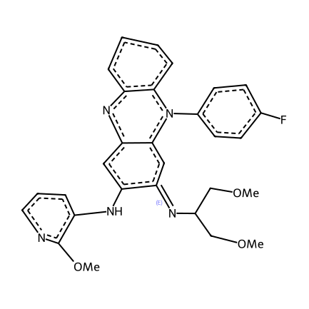 COCC(COC)/N=c1\cc2n(-c3ccc(F)cc3)c3ccccc3nc-2cc1Nc1cccnc1OC